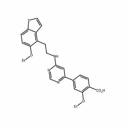 CCOc1cc(-c2cc(NCCc3c(OCC)ccc4sccc34)ncn2)ccc1C(=O)O